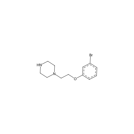 Brc1cccc(OCCN2CCNCC2)c1